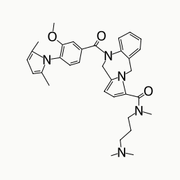 COc1cc(C(=O)N2Cc3ccc(C(=O)N(C)CCCN(C)C)n3Cc3ccccc32)ccc1-n1c(C)ccc1C